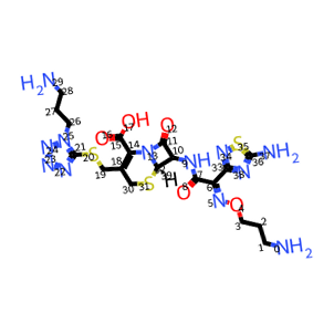 NCCCO/N=C(/C(=O)NC1C(=O)N2C(C(=O)O)=C(CSc3nnnn3CCCN)CS[C@H]12)c1nsc(N)n1